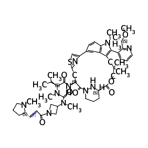 CCn1c(-c2cccnc2[C@H](C)OC)c2c3cc(ccc31)-c1csc(n1)C[C@H](NC(=O)[C@H](C(C)C)N(C)C(=O)N(C)C1CN(C(=O)/C=C/[C@@H]3CCCN3C)C1)C(=O)N1CCC[C@H](N1)C(=O)OCC(C)(C)C2